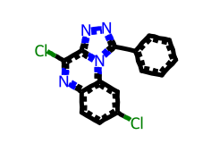 Clc1ccc2nc(Cl)c3nnc(-c4ccccc4)n3c2c1